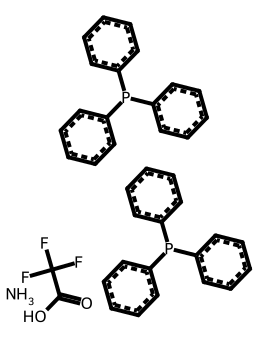 N.O=C(O)C(F)(F)F.c1ccc(P(c2ccccc2)c2ccccc2)cc1.c1ccc(P(c2ccccc2)c2ccccc2)cc1